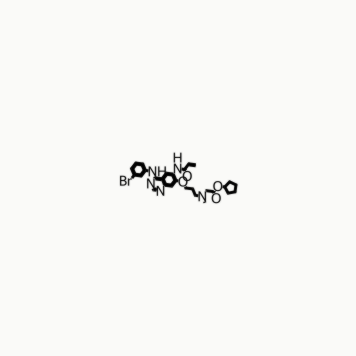 C=CC(=O)Nc1cc2c(Nc3cccc(Br)c3)ncnc2cc1OCCCN(C)CC(=O)OC1CCCC1